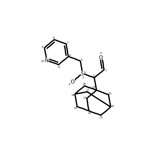 O=CC([S+]([O-])Cc1cccnc1)C12CC3CC(CC(C3)C1)C2